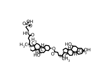 C[C@H](CCC(=O)O[C@H]1CC[C@@]2(C)C(C1)C[C@H](O)C1[C@H]3CC[C@H]([C@H](C)CCC(=O)NCCS(=O)(=O)O)[C@@]3(C)CC[C@H]12)[C@H]1CC[C@@H]2C3[C@@H](CC[C@@]21C)[C@@]1(C)CC[C@H](O)CC1C[C@@H]3O